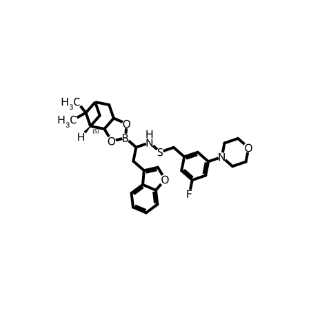 CC1(C)C2CC3OB(C(Cc4coc5ccccc45)NSCc4cc(F)cc(N5CCOCC5)c4)OC3[C@H]1C2